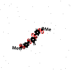 COC(=O)Oc1ccc(C(=O)Oc2ccc(OC(=O)c3ccc(OC(=O)OC)cc3)c(C)c2)cc1